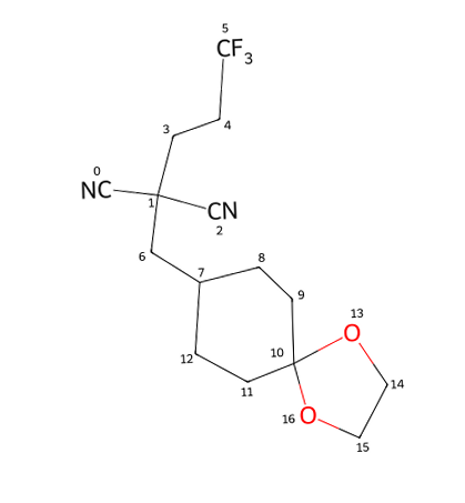 N#CC(C#N)(CCC(F)(F)F)CC1CCC2(CC1)OCCO2